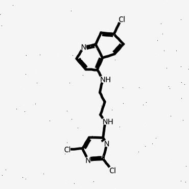 Clc1ccc2c(NCCCNc3cc(Cl)nc(Cl)n3)ccnc2c1